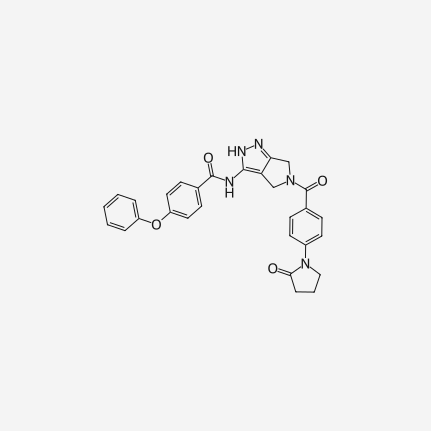 O=C(Nc1[nH]nc2c1CN(C(=O)c1ccc(N3CCCC3=O)cc1)C2)c1ccc(Oc2ccccc2)cc1